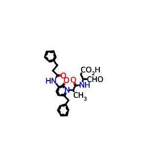 CC(C(=O)NC(C=O)CC(=O)O)n1c(Cc2ccccc2)ccc(NC(=O)CCc2ccccc2)c1=O